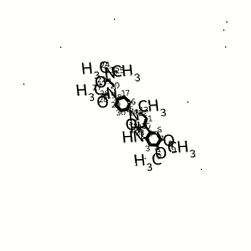 COc1cc2c(cc1OC)C(=CC(C)Nc1ccc(N(CC(=O)N(C)C)C(C)=O)cc1)C(=O)N2